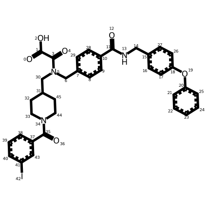 O=C(O)C(=O)N(Cc1ccc(C(=O)NCc2ccc(Oc3ccccc3)cc2)cc1)CC1CCN(C(=O)c2cccc(I)c2)CC1